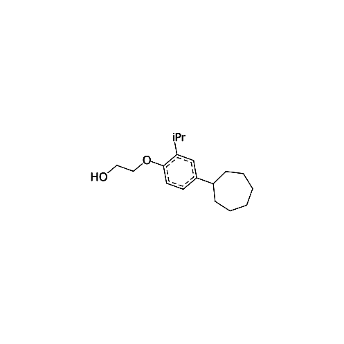 CC(C)c1cc(C2CCCCCC2)ccc1OCCO